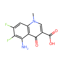 Cn1cc(C(=O)O)c(=O)c2c(N)c(F)c(F)cc21